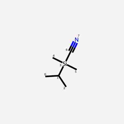 CC(C)[Si](C)(C)C#N